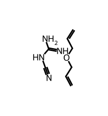 C=CCOCC=C.N#CNC(=N)N